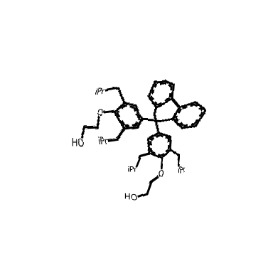 CC(C)Cc1cc(C2(c3cc(CC(C)C)c(OCCO)c(CC(C)C)c3)c3ccccc3-c3ccccc32)cc(CC(C)C)c1OCCO